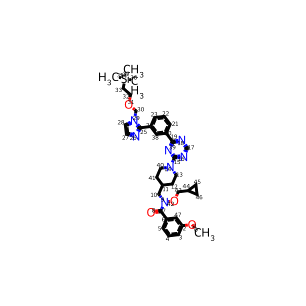 COc1cccc(C(=O)N(CC2CCN(c3ncnc(-c4cccc(-c5nccn5COCC[Si](C)(C)C)c4)n3)CC2)OCC2CC2)c1